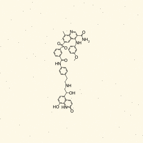 COc1cccc(Nc2c(C(N)=O)cnc3c(C)cc(S(=O)(=O)c4cccc(C(=O)Nc5ccc(CCNCC(O)c6ccc(O)c7[nH]c(=O)ccc67)cc5)c4)cc23)c1